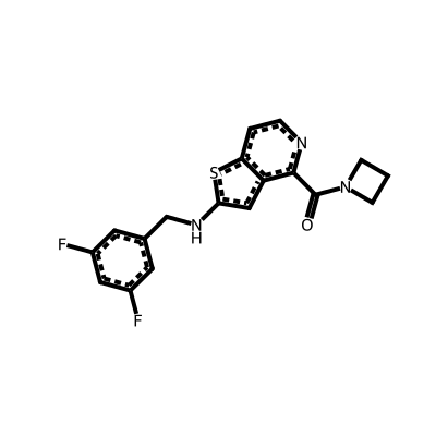 O=C(c1nccc2sc(NCc3cc(F)cc(F)c3)cc12)N1CCC1